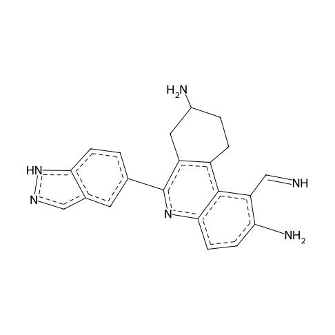 N=Cc1c(N)ccc2nc(-c3ccc4[nH]ncc4c3)c3c(c12)CCC(N)C3